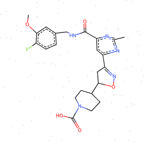 COc1cc(CNC(=O)c2cc(C3=NOC(C4CCN(C(=O)O)CC4)C3)nc(C)n2)ccc1F